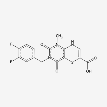 Cn1c2c(c(=O)n(Cc3ccc(F)c(F)c3)c1=O)SC(C(=O)O)=CN2